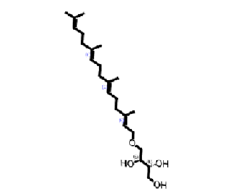 CC(C)=CCC/C(C)=C/CC/C(C)=C/CC/C(C)=C/COC[C@H](O)[C@H](O)CO